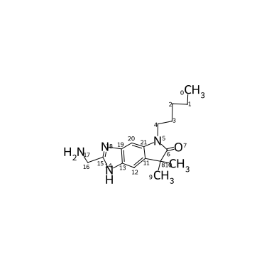 CCCCCN1C(=O)C(C)(C)c2cc3[nH]c(CN)nc3cc21